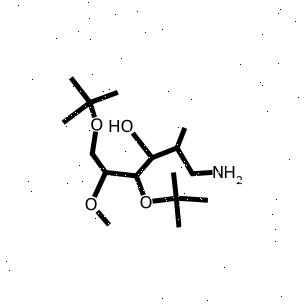 COC(COC(C)(C)C)C(OC(C)(C)C)C(O)C(C)CN